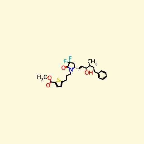 COC(=O)c1ccc(CCCN2C(=O)C(F)(F)C[C@@H]2C=C[C@@H](O)[C@@H](C)CCc2ccccc2)s1